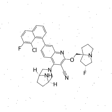 N#Cc1c(OC[C@@]23CCCN2C[C@H](F)C3)nc2cc(-c3cccc4ccc(F)c(Cl)c34)ccc2c1N1C[C@H]2CC[C@@H](C1)N2